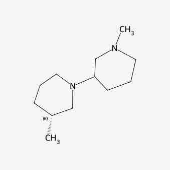 C[C@@H]1CCCN(C2CCCN(C)C2)C1